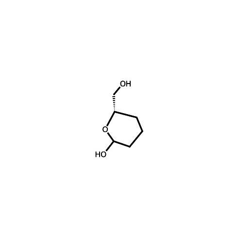 OC[C@@H]1CCCC(O)O1